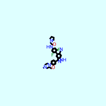 CN1CCN2c3ccc(-c4n[nH]c5cc(C#N)c(-c6c(F)cc(NC(=O)CN7CCCC7)cc6F)cc45)cc3OCC2C1